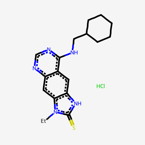 CCn1c(=S)[nH]c2cc3c(NCC4CCCCC4)ncnc3cc21.Cl